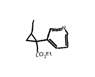 CCOC(=O)C1(c2cccnc2)CC1C